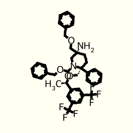 C[C@@H](OC[C@@]1(c2ccccc2)CC[C@](N)(COCc2ccccc2)CN1C(=O)OCc1ccccc1)c1cc(C(F)(F)F)cc(C(F)(F)F)c1